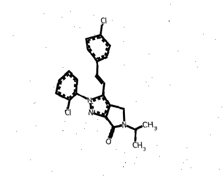 CC(C)N1Cc2c(nn(-c3ccccc3Cl)c2/C=C/c2ccc(Cl)cc2)C1=O